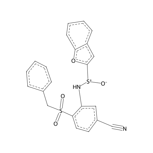 N#Cc1ccc(S(=O)(=O)Cc2ccccc2)c(N[S+]([O-])c2cc3ccccc3o2)c1